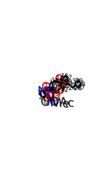 COc1ccnc(C(=O)N[C@H]2CCC[C@H](OC3CCCC3)[C@@H](OCCCc3ccccc3)[C@H](C)OC2=O)c1OCOC(C)=O